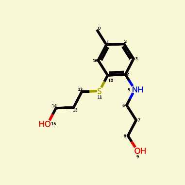 Cc1ccc(NCCCO)c(SCCCO)c1